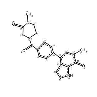 CN1CCN(C(=O)c2ccc(-c3cn(C)c(=O)c4[nH]ccc34)cc2)CC1=O